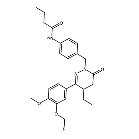 CCCC(=O)Nc1ccc(CN2N=C(c3ccc(OC)c(OCF)c3)C(CC)CC2=O)cc1